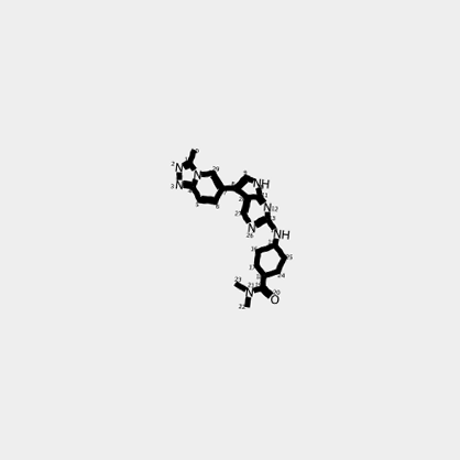 Cc1nnc2ccc(-c3c[nH]c4nc(NC5CCC(C(=O)N(C)C)CC5)ncc34)cn12